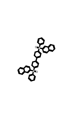 O=P(C1=CC=C(C2=CC=C(P(=O)(c3ccccc3)c3ccc4ccccc4c3)CC2)CC1)(c1ccccc1)c1ccc2ccccc2c1